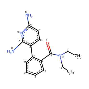 CCN(CC)C(=O)c1ccccc1-c1ccc(N)nc1N